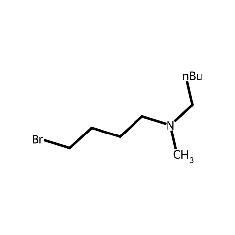 CCCCCN(C)CCCCBr